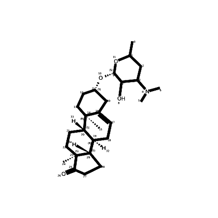 CC1CC(N(C)C)C(O)[C@H](O[C@H]2CC[C@@]3(C)C(=CC[C@@H]4[C@@H]3CC[C@]3(C)C(=O)CC[C@@H]43)C2)O1